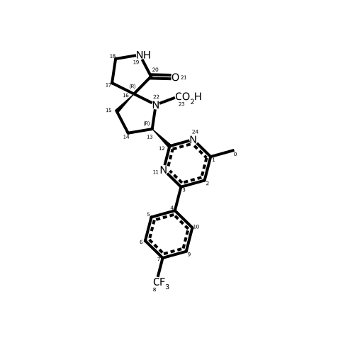 Cc1cc(-c2ccc(C(F)(F)F)cc2)nc([C@H]2CC[C@]3(CCNC3=O)N2C(=O)O)n1